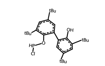 CC(C)(C)c1cc(-c2cc(C(C)(C)C)cc(C(C)(C)C)c2OPCl)c(O)c(C(C)(C)C)c1